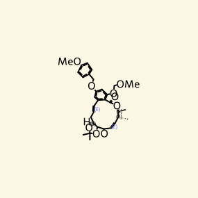 COCOc1cc(OCc2ccc(OC)cc2)cc2c1C(=O)O[C@@H](C)[C@H](C)/C=C\C(=O)C1OC(C)(C)O[C@H]1C/C=C/2